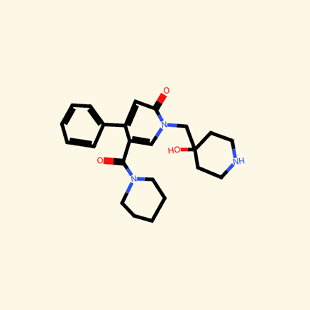 O=C(c1cn(CC2(O)CCNCC2)c(=O)cc1-c1ccccc1)N1CCCCC1